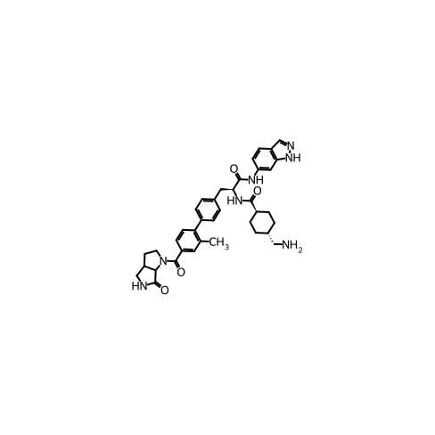 Cc1cc(C(=O)N2CCC3CNC(=O)C32)ccc1-c1ccc(C[C@H](NC(=O)[C@H]2CC[C@H](CN)CC2)C(=O)Nc2ccc3cn[nH]c3c2)cc1